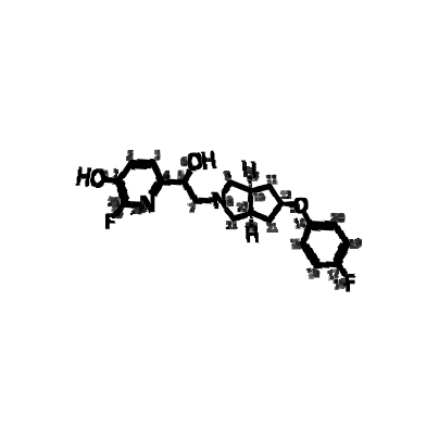 Oc1ccc(C(O)CN2C[C@H]3C[C@@H](Oc4ccc(F)cc4)C[C@H]3C2)nc1F